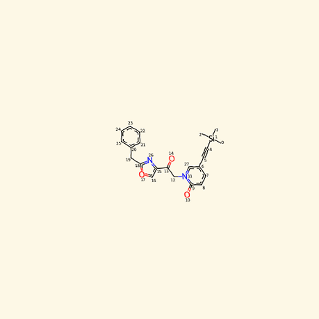 C[Si](C)(C)C#Cc1ccc(=O)n(CC(=O)c2coc(Cc3ccccc3)n2)c1